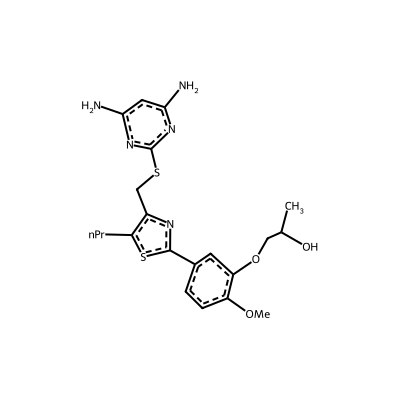 CCCc1sc(-c2ccc(OC)c(OCC(C)O)c2)nc1CSc1nc(N)cc(N)n1